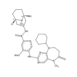 COc1cc(C(=O)NC2C[C@H]3CCC[C@@H](C2)N3C)ccc1Nc1ncc2c(n1)N(C1CCCCC1)CCC(=O)N2C